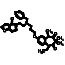 CCN1C(=O)C(C)(C)C(=O)N(C)c2cc(OCCCN(CCn3ccc4occc4c3=O)Cc3ccncc3)ccc21